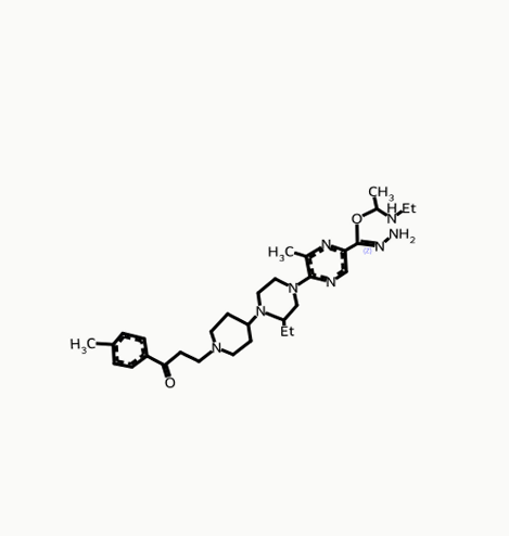 CCNC(C)O/C(=N\N)c1cnc(N2CCN(C3CCN(CCC(=O)c4ccc(C)cc4)CC3)C(CC)C2)c(C)n1